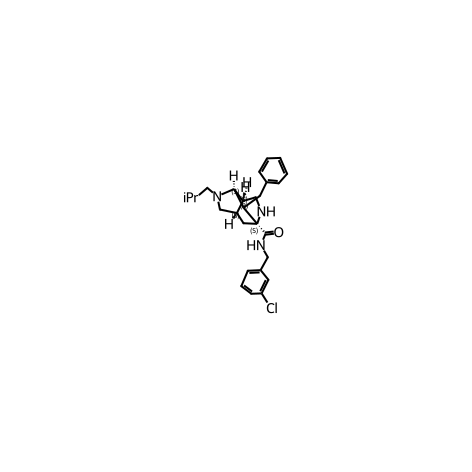 CC(C)CN1C[C@H]2C[C@]3(C(=O)NCc4cccc(Cl)c4)NC[C@H]2[C@H]1[C@H]3Cc1ccccc1